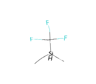 C[SiH](C)C(F)(F)F